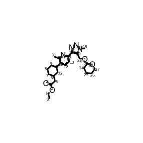 CCOC(=O)CC1CCCC(c2ccc(-c3nnn(C)c3COC3CCCCO3)nc2C)C1